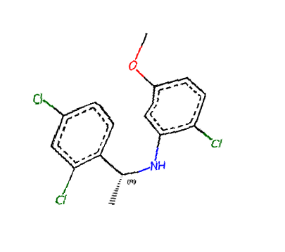 COc1ccc(Cl)c(N[C@H](C)c2ccc(Cl)cc2Cl)c1